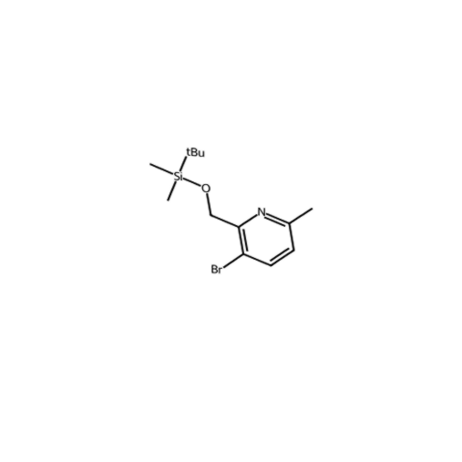 Cc1ccc(Br)c(CO[Si](C)(C)C(C)(C)C)n1